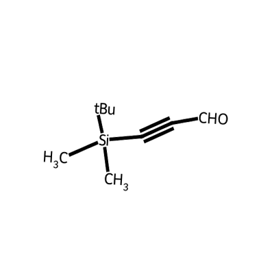 CC(C)(C)[Si](C)(C)C#CC=O